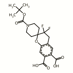 CC(C)(C)OC(=O)N1CCC2(CC1)Oc1cc(C(=O)O)c(C(=O)O)cc1CC2(F)F